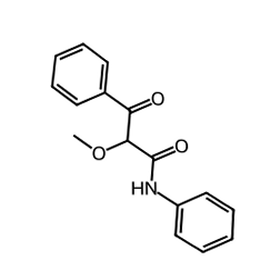 COC(C(=O)Nc1ccccc1)C(=O)c1ccccc1